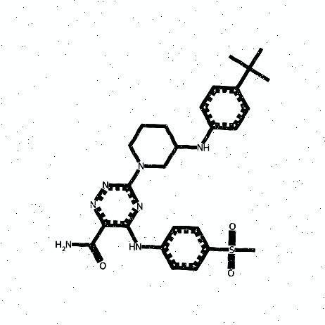 CC(C)(C)c1ccc(NC2CCCN(c3nnc(C(N)=O)c(Nc4ccc(S(C)(=O)=O)cc4)n3)C2)cc1